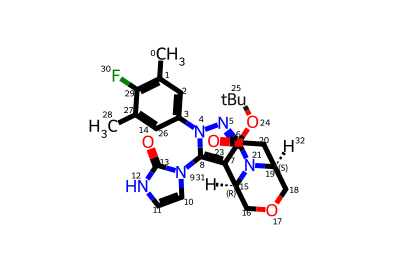 Cc1cc(-n2nc3c(c2-n2cc[nH]c2=O)[C@@H]2COC[C@H](C3)N2C(=O)OC(C)(C)C)cc(C)c1F